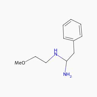 COCCNC(N)Cc1ccccc1